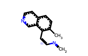 C=N/C=C\c1c(C)ccc2ccncc12